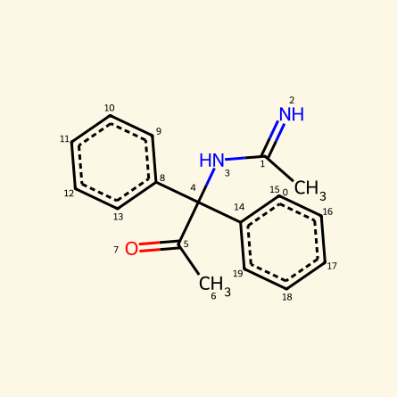 CC(=N)NC(C(C)=O)(c1ccccc1)c1ccccc1